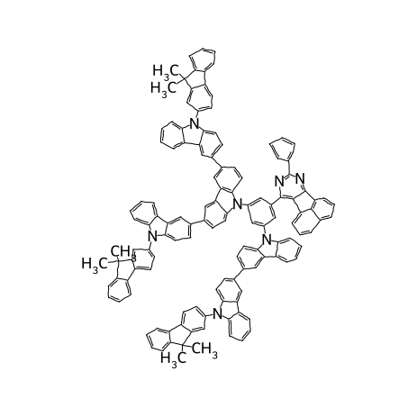 CC1(C)c2ccccc2-c2ccc(-n3c4ccccc4c4cc(-c5ccc6c(c5)c5ccccc5n6-c5cc(-c6nc(-c7ccccc7)nc7c6-c6cccc8cccc-7c68)cc(-n6c7ccc(-c8ccc9c(c8)c8ccccc8n9-c8ccc9c(c8)C(C)(C)c8ccccc8-9)cc7c7cc(-c8ccc9c(c8)c8ccccc8n9-c8ccc9c(c8)C(C)(C)c8ccccc8-9)ccc76)c5)ccc43)cc21